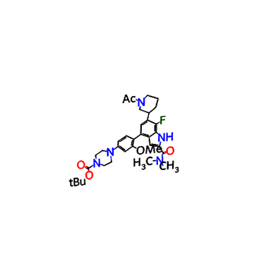 COc1cc(N2CCN(C(=O)OC(C)(C)C)CC2)ccc1-c1cc(C2CCCN(C(C)=O)C2)c(F)c2[nH]c(C(=O)N(C)C)cc12